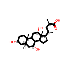 C[C@H](C[C@@H](C)[C@H]1CCC2C3C(C[C@H](O)[C@@]21C)[C@@]1(C)CC[C@@H](O)C[C@H]1C[C@H]3O)C(=O)O